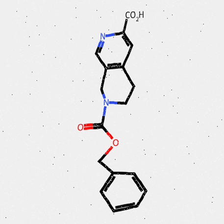 O=C(O)c1cc2c(cn1)CN(C(=O)OCc1ccccc1)CC2